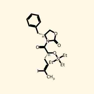 CC[Si](CC)(CC)O[C@H](CC=C(C)I)C(=O)N1C(=O)OC[C@H]1Cc1ccccc1